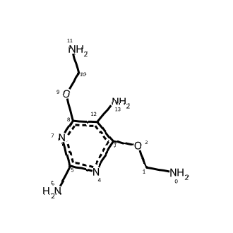 NCOc1nc(N)nc(OCN)c1N